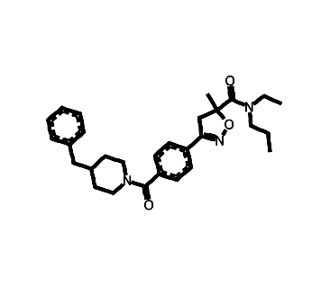 CCCN(CC)C(=O)C1(C)CC(c2ccc(C(=O)N3CCC(Cc4ccccc4)CC3)cc2)=NO1